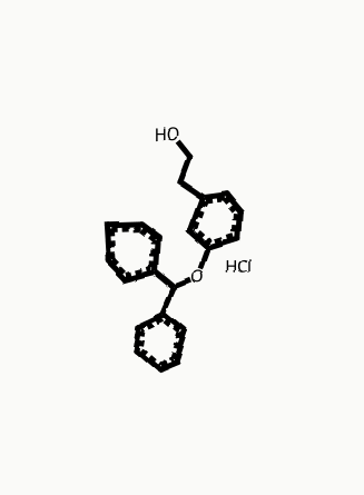 Cl.OCCc1cccc(OC(c2ccccc2)c2ccccc2)c1